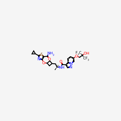 C[C@@H](CC1CC(Oc2nc(C3CC3)sc2C(N)=O)C1)NC(=O)c1cnn2cc(OCC(O)(C(F)(F)F)C(F)(F)F)ccc12